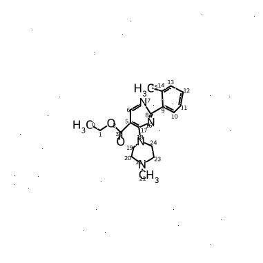 CCOC(=O)c1cnc(-c2ccccc2C)nc1N1CCN(C)CC1